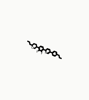 CCCc1ccc(-c2ccc(-c3ccc(C4CCC(CCC)OC4)c(F)c3F)nc2)cc1